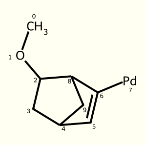 COC1CC2C=[C]([Pd])C1C2